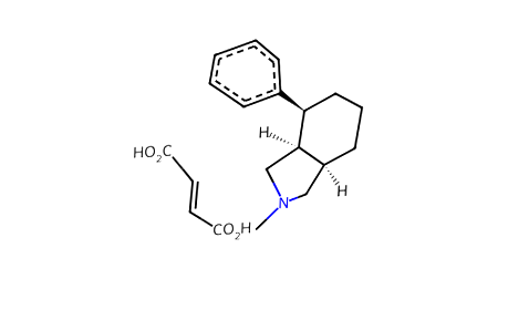 CN1C[C@@H]2CCC[C@H](c3ccccc3)[C@@H]2C1.O=C(O)/C=C/C(=O)O